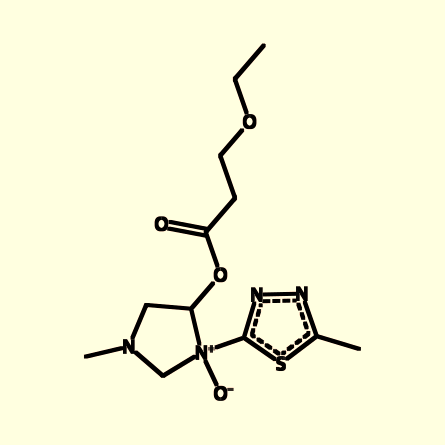 CCOCCC(=O)OC1CN(C)C[N+]1([O-])c1nnc(C)s1